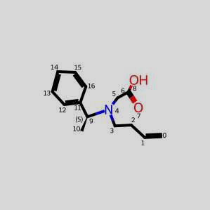 C=CCCN(CC(=O)O)[C@@H](C)c1ccccc1